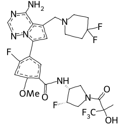 COc1cc(F)c(-c2cc(CN3CCC(F)(F)CC3)c3c(N)ncnn23)cc1C(=O)N[C@@H]1CN(C(=O)C(C)(O)C(F)(F)F)C[C@@H]1F